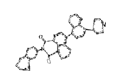 O=C1c2cccc3c(-c4ccc(-c5ccncc5)c5ccccc45)ccc(c23)C(=O)N1c1ccc2ccccc2c1